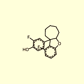 Oc1ccc(C23CCCCCC2Oc2cccc(F)c23)cc1F